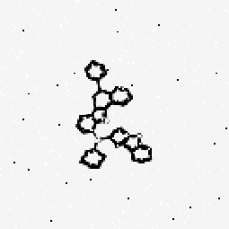 c1ccc(-c2cc3c4cccc(N(c5ccccc5)c5ccc6oc7ccccc7c6c5)c4oc3c3ccccc23)cc1